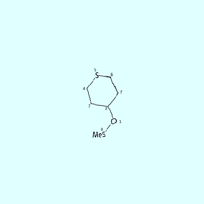 CSOC1CCSCC1